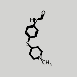 CN1CCC(Sc2ccc(NC=O)cc2)CC1